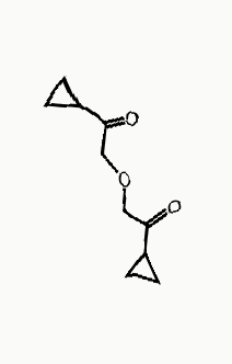 O=C(COCC(=O)C1CC1)C1CC1